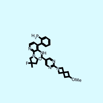 COC1CC2(C1)CN(c1ncc(C(=O)Nc3c(-c4ccccc4P)ccnc3N3CCC(C)(F)C3)cn1)C2